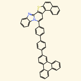 c1ccc2c(c1)ccc1sc3c(cc(-c4ccc(-c5ccc(-c6ccc7c8ccccc8c8ccccc8c7c6)cc5)cc4)n4c5ccccc5nc34)c12